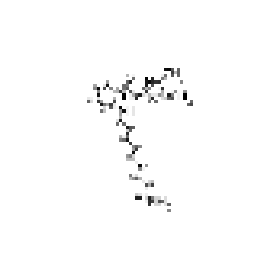 Cc1nc(NC(=O)c2ccccc2NCCCCCCCCCN)sc1C